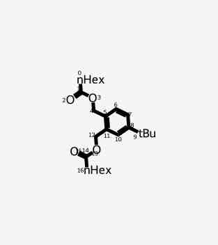 CCCCCCC(=O)OCc1ccc(C(C)(C)C)cc1COC(=O)CCCCCC